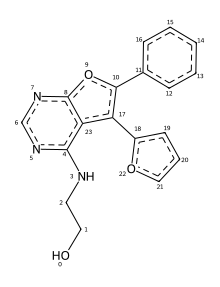 OCCNc1ncnc2oc(-c3ccccc3)c(-c3ccco3)c12